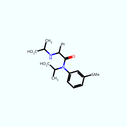 CSc1cccc(N(C(=O)C(NC(C)C(=O)O)C(C)C)C(C)C(=O)O)c1